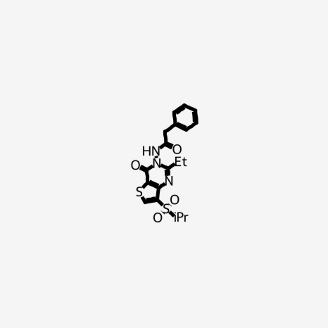 CCc1nc2c(S(=O)(=O)C(C)C)csc2c(=O)n1NC(=O)Cc1ccccc1